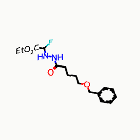 CCOC(=O)C(F)NNC(=O)CCCCOCc1ccccc1